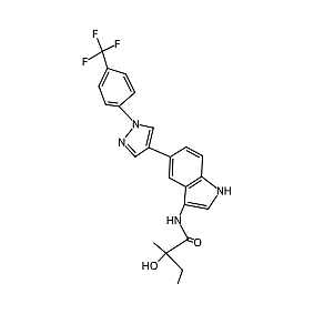 CCC(C)(O)C(=O)Nc1c[nH]c2ccc(-c3cnn(-c4ccc(C(F)(F)F)cc4)c3)cc12